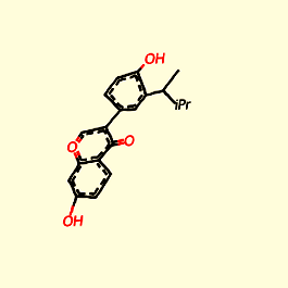 CC(C)C(C)c1cc(-c2coc3cc(O)ccc3c2=O)ccc1O